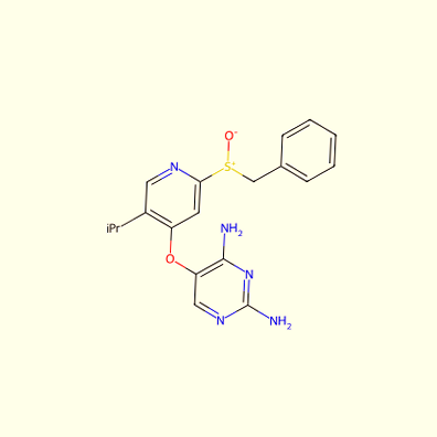 CC(C)c1cnc([S+]([O-])Cc2ccccc2)cc1Oc1cnc(N)nc1N